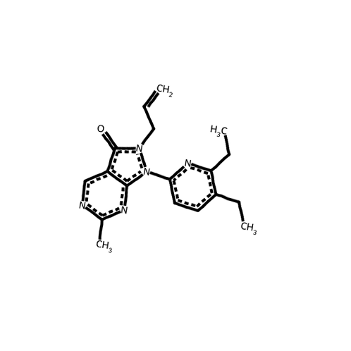 C=CCn1c(=O)c2cnc(C)nc2n1-c1ccc(CC)c(CC)n1